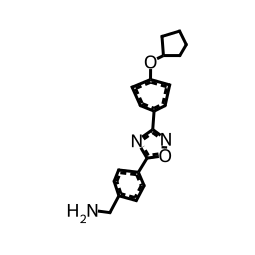 NCc1ccc(-c2nc(-c3ccc(OC4CCCC4)cc3)no2)cc1